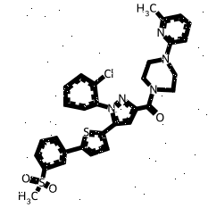 Cc1cccc(N2CCN(C(=O)c3cc(-c4ccc(-c5cccc(S(C)(=O)=O)c5)s4)n(-c4ccccc4Cl)n3)CC2)n1